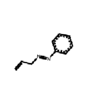 C=CCN=Nc1cc[c]cc1